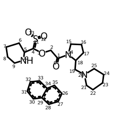 O=C(COC(C1CCCCN1)=S(=O)=O)N1CCCC1CN1CCCCC1.c1ccc2ccccc2c1